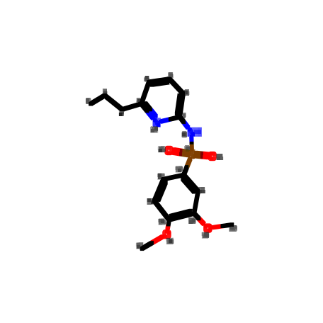 CCCc1cccc(NS(=O)(=O)c2ccc(OC)c(OC)c2)n1